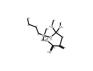 C=C(CC(OC)(OC)O[Si](C)(C)CCCC)C(=O)O